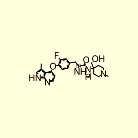 Cc1c[nH]c2nccc(Oc3ccc(C[C@H](N)C(=O)NC4(CO)CCN(C)CC4)cc3F)c12